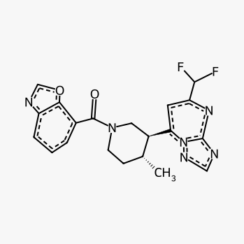 C[C@@H]1CCN(C(=O)c2cccc3ncoc23)C[C@H]1c1cc(C(F)F)nc2ncnn12